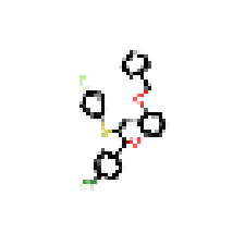 O=C(C(=Cc1ccccc1OCc1ccccc1)Sc1ccc(F)cc1)c1ccc(Cl)cc1